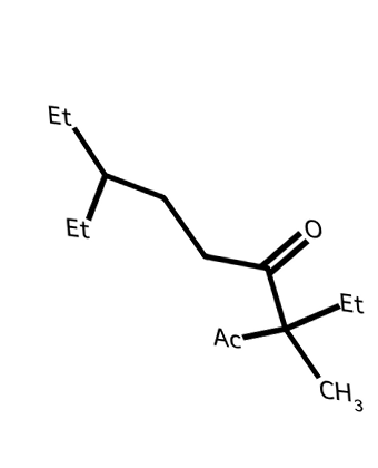 CCC(CC)CCC(=O)C(C)(CC)C(C)=O